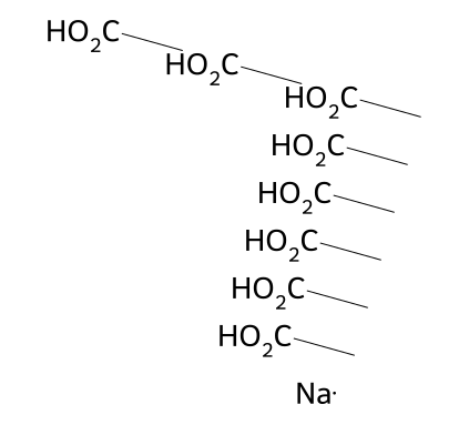 CC(=O)O.CC(=O)O.CC(=O)O.CC(=O)O.CC(=O)O.CC(=O)O.CC(=O)O.CC(=O)O.[Na]